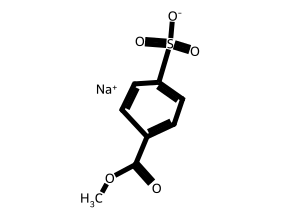 COC(=O)c1ccc(S(=O)(=O)[O-])cc1.[Na+]